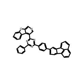 c1ccc(-c2nc(-c3ccc(-c4ccc5c(c4)-c4cccc6cccc-5c46)cc3)nc(-c3cncc4oc5ccccc5c34)n2)cc1